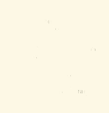 CC(C)c1ccc2c(c1)OC1(O)c3ccccc3C(=O)C21CCCOC(N)=O